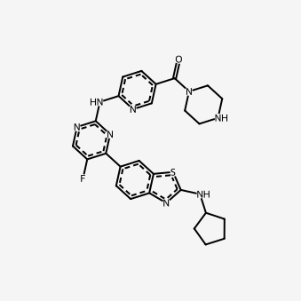 O=C(c1ccc(Nc2ncc(F)c(-c3ccc4nc(NC5CCCC5)sc4c3)n2)nc1)N1CCNCC1